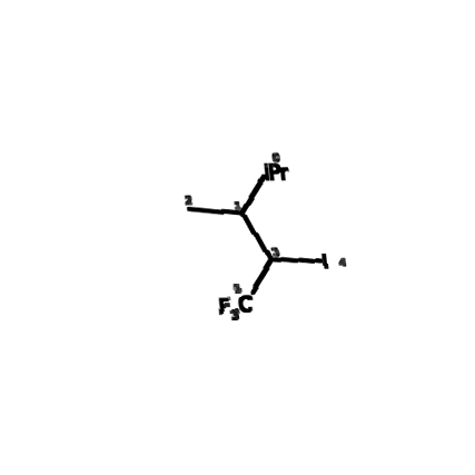 CC(C)C(C)C(I)C(F)(F)F